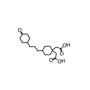 O=C(O)CC1(CC(=O)O)CCC(CCCC2CCC(=O)CC2)CC1